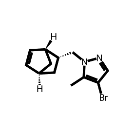 Cc1c(Br)cnn1C[C@@H]1C[C@H]2C=C[C@H]1C2